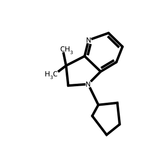 CC1(C)CN(C2CCCC2)c2cccnc21